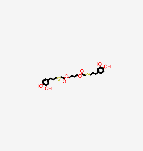 O=C(CSCCCc1ccc(O)c(O)c1)OCCCCOC(=O)CSCCCc1ccc(O)c(O)c1